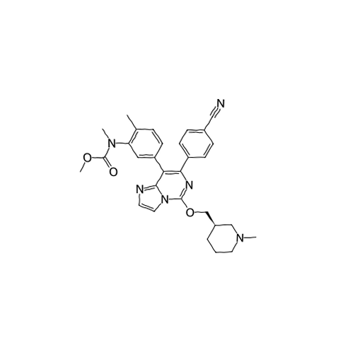 COC(=O)N(C)c1cc(-c2c(-c3ccc(C#N)cc3)nc(OC[C@@H]3CCCN(C)C3)n3ccnc23)ccc1C